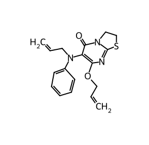 C=CCOc1nc2n(c(=O)c1N(CC=C)c1ccccc1)CCS2